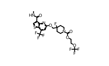 CNC(=O)c1csc2c(C(F)(F)F)cc(OCC3(F)CCN(C(=O)OCCOC(F)(F)F)CC3)nc12